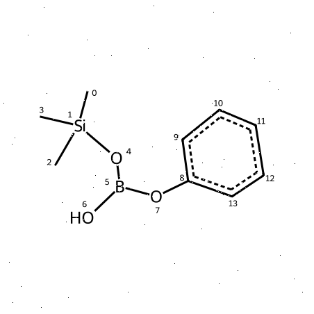 C[Si](C)(C)OB(O)Oc1ccccc1